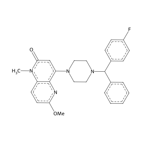 COc1ccc2c(n1)c(N1CCN(C(c3ccccc3)c3ccc(F)cc3)CC1)cc(=O)n2C